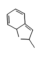 CC1C=C2C=CC=CC2S1